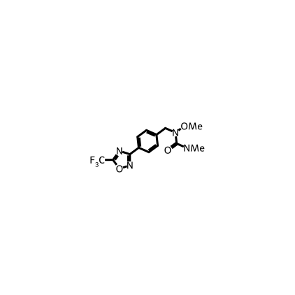 CNC(=O)N(Cc1ccc(-c2noc(C(F)(F)F)n2)cc1)OC